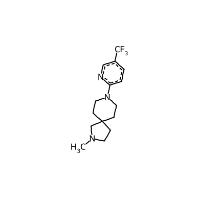 CN1CCC2(CCN(c3ccc(C(F)(F)F)cn3)CC2)C1